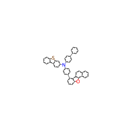 c1ccc(-c2ccc(N(c3ccc(-c4cccc5oc6c7ccccc7ccc6c45)cc3)c3ccc4c(c3)sc3ccccc34)cc2)cc1